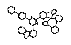 c1ccc(-c2ccc(-c3cc(-c4cccc5oc6ccccc6c45)nc(-c4ccc5c(c4)C4(c6ccccc6-c6ccccc6-c6ccccc64)c4ccccc4-5)n3)cc2)cc1